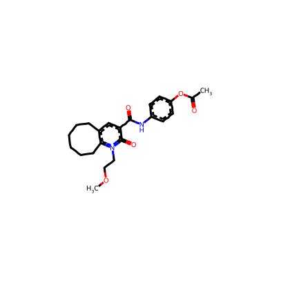 COCCn1c2c(cc(C(=O)Nc3ccc(OC(C)=O)cc3)c1=O)CCCCCC2